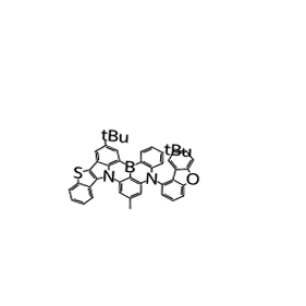 Cc1cc2c3c(c1)-n1c4c(cc(C(C)(C)C)cc4c4sc5ccccc5c41)B3c1ccc(C(C)(C)C)cc1N2c1cccc2oc3ccccc3c12